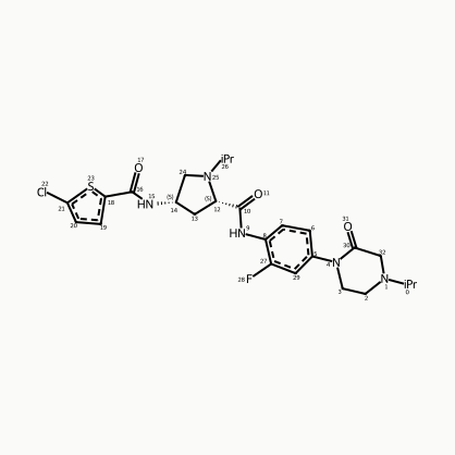 CC(C)N1CCN(c2ccc(NC(=O)[C@@H]3C[C@H](NC(=O)c4ccc(Cl)s4)CN3C(C)C)c(F)c2)C(=O)C1